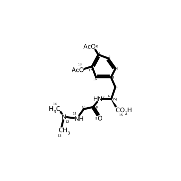 CC(=O)Oc1ccc(C[C@H](NC(=O)CNN(C)C)C(=O)O)cc1OC(C)=O